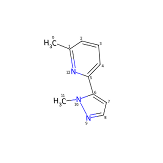 Cc1cccc(-c2ccnn2C)n1